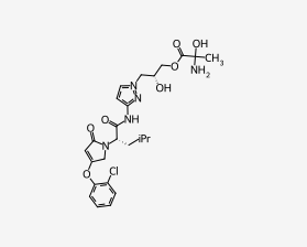 CC(C)C[C@@H](C(=O)Nc1ccn(C[C@@H](O)COC(=O)C(C)(N)O)n1)N1CC(Oc2ccccc2Cl)=CC1=O